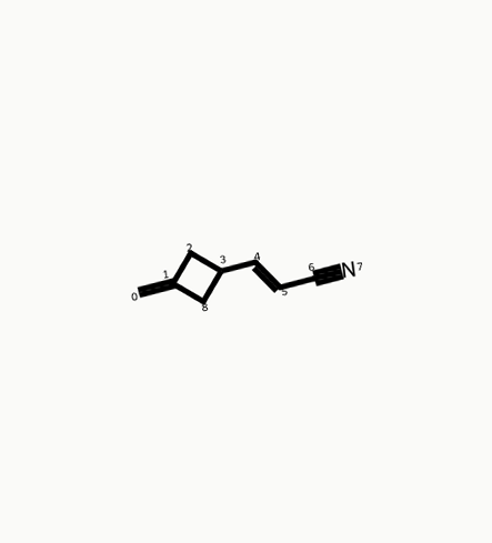 C=C1CC(C=CC#N)C1